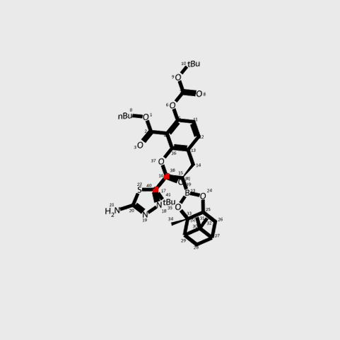 CCCCOC(=O)c1c(OC(=O)OC(C)(C)C)ccc(C[C@H](Sc2nnc(N)s2)B2OC3CC4CC(C4(C)C)[C@]3(C)O2)c1OC(=O)OC(C)(C)C